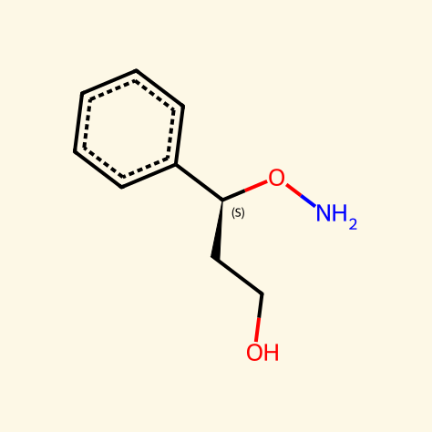 NO[C@@H](CCO)c1ccccc1